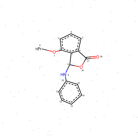 CCCOc1cccc2c1C(Nc1ccccc1)OC2=O